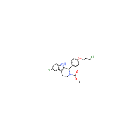 CCOC(=O)N1CCc2c([nH]c3ccc(Cl)cc23)C1c1ccc(OCCCCl)cc1